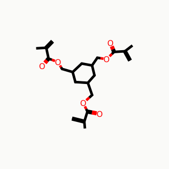 C=C(C)C(=O)OCC1CC(COC(=O)C(=C)C)CC(COC(=O)C(=C)C)C1